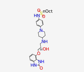 CCCCCCCCS(=O)(=O)Nc1ccc(N2CCC(NC[C@H](O)COc3cccc4[nH]c(=O)[nH]c34)CC2)cc1